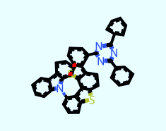 c1ccc(-c2nc(-c3ccccc3)nc(-c3cccc4sc5c(ccc6sc7cccc(-n8c9ccccc9c9ccccc98)c7c65)c34)n2)cc1